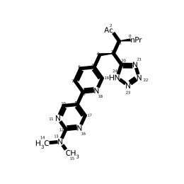 CCC[C@H](C(C)=O)[C@H](Cc1ccc(-c2cnc(N(C)C)nc2)nc1)c1nnn[nH]1